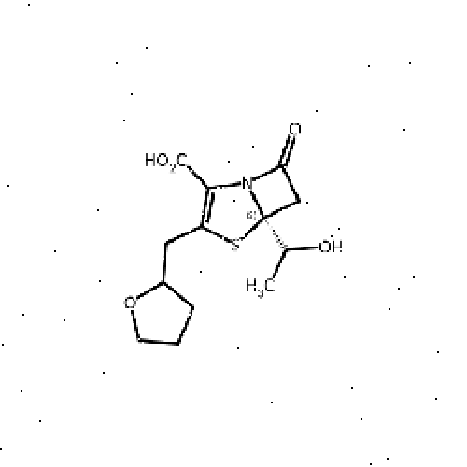 CC(O)[C@@]12CC(=O)N1C(C(=O)O)=C(CC1CCCO1)S2